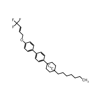 CCCCCCCC12CCC(c3ccc(-c4ccc(OCC=CC(F)(F)F)cc4)cc3)(CC1)CC2